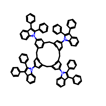 c1ccc(-c2c(-c3ccccc3)n(-c3cc4cc(c3)Cc3cc(cc(-n5c(-c6ccccc6)c(-c6ccccc6)c6ccccc65)c3)Cc3cc(cc(-n5c(-c6ccccc6)c(-c6ccccc6)c6ccccc65)c3)Cc3cc(cc(-n5c(-c6ccccc6)c(-c6ccccc6)c6ccccc65)c3)C4)c3ccccc23)cc1